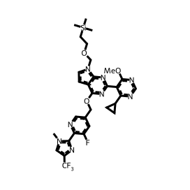 COc1ncnc(C2CC2)c1-c1nc(OCc2cnc(-c3nc(C(F)(F)F)cn3C)c(F)c2)c2ccn(COCC[Si](C)(C)C)c2n1